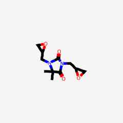 CC1(C)C(=O)N(CC2CO2)C(=O)N1CC1CO1